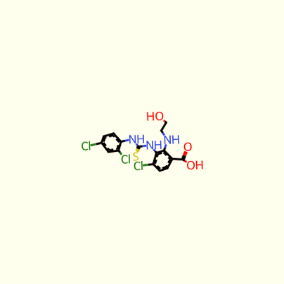 O=C(O)c1ccc(Cl)c(NC(=S)Nc2ccc(Cl)cc2Cl)c1NCCO